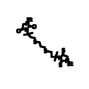 CCN1CC(=O)N(C(C)(C)CCSCCCSCCC(C)(C)N2C(=S)CN(CC)C2=S)C1=O